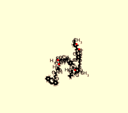 COc1ccc(C2=CN3C(=O)c4cc(OC)c(OCCCOc5cc6c(cc5OC)C(=O)N5CC7(CC7)C[C@H]5C(O)N6C(=O)OCc5ccc(NC(=O)[C@H](C)NC(=O)[C@@H](NC(=O)CNC(=O)CNC(=O)CCC(=O)N6Cc7ccccc7C#Cc7ccccc76)C(C)C)cc5)cc4N=C[C@@H]3C2)cc1